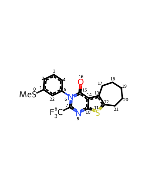 CSc1cccc(-n2c(C(F)(F)F)nc3sc4c(c3c2=O)CCCCC4)c1